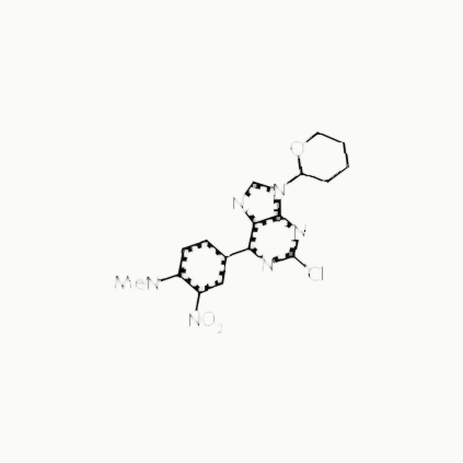 CNc1ccc(-c2nc(Cl)nc3c2ncn3C2CCCCO2)cc1[N+](=O)[O-]